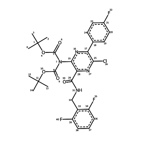 CC(C)(C)OC(=O)N(C(=O)OC(C)(C)C)c1nc(-c2ccc(F)cc2)c(Cl)nc1C(=O)NCc1c(F)cccc1F